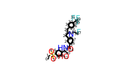 CCS(=O)(=O)c1ccc(C(CO)NC(=O)c2ccc3c(c2)cc(Cc2ccc(C(F)(F)F)cc2)n3CCF)cc1